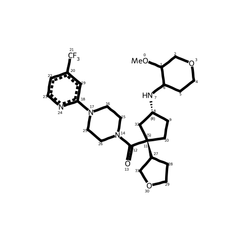 COC1COCCC1N[C@@H]1CC[C@@](C(=O)N2CCN(c3cc(C(F)(F)F)ccn3)CC2)(C2CCOC2)C1